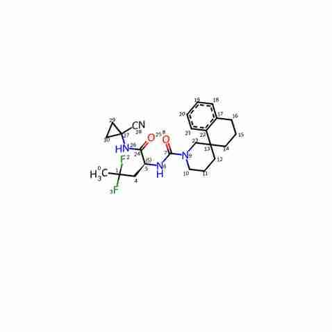 CC(F)(F)C[C@H](NC(=O)N1CCCC2(CCCc3ccccc32)C1)C(=O)NC1(C#N)CC1